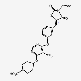 CC(=O)CN1C(=O)S/C(=C\c2cccc(Oc3ncnc(OC4CCN(C(=O)O)CC4)c3C)c2)C1=O